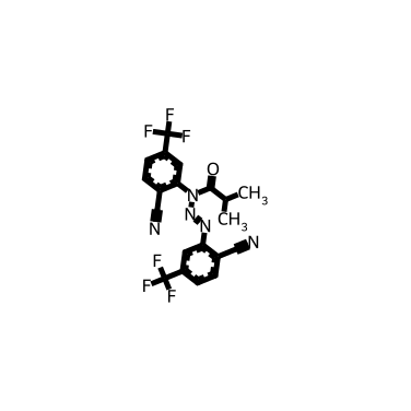 CC(C)C(=O)N(/N=N/c1cc(C(F)(F)F)ccc1C#N)c1cc(C(F)(F)F)ccc1C#N